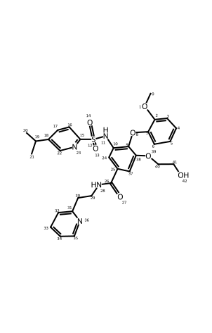 COc1ccccc1Oc1c(NS(=O)(=O)c2ccc(C(C)C)cn2)cc(C(=O)NCCc2ccccn2)cc1OCCO